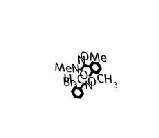 CNC(=O)/C(=N/OC)c1cccc(C)c1CO/N=C(\C)c1ccccc1Br